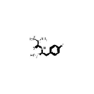 CC[C@H](C)[C@H](N)C(=O)NC(Cc1ccc(F)cc1)C(=O)O